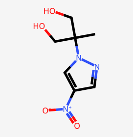 CC(CO)(CO)n1cc([N+](=O)[O-])cn1